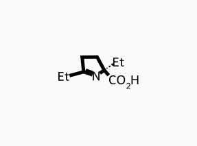 CCC1=N[C@](CC)(C(=O)O)CC1